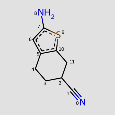 N#CC1CCc2cc(N)sc2C1